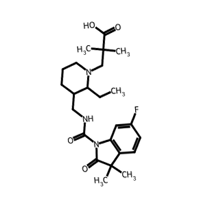 CCC1C(CNC(=O)N2C(=O)C(C)(C)c3ccc(F)cc32)CCCN1CC(C)(C)C(=O)O